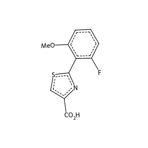 COc1cccc(F)c1-c1nc(C(=O)O)cs1